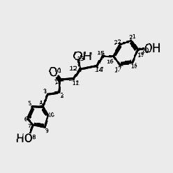 O=C(CCc1ccc(O)cc1)C[C@@H](O)CCc1ccc(O)cc1